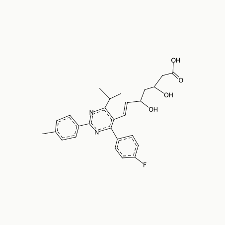 Cc1ccc(-c2nc(-c3ccc(F)cc3)c(/C=C/C(O)CC(O)CC(=O)O)c(C(C)C)n2)cc1